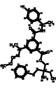 COOSN(C)c1cc(C(=O)N[C@H](C)c2ccc(F)cc2)cc(C(=O)OCC(N)(CO)CCc2ccccc2)c1